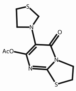 CC(=O)Oc1nc2n(c(=O)c1N1CCSC1)CCS2